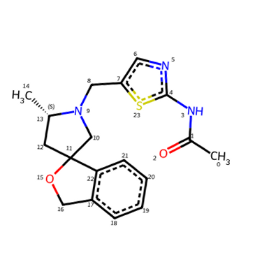 CC(=O)Nc1ncc(CN2CC3(C[C@@H]2C)OCc2ccccc23)s1